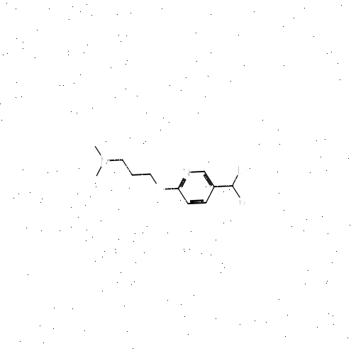 CCCC(CC)c1ccc(OCCCN(C)C)nc1